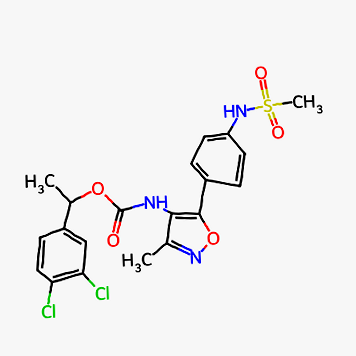 Cc1noc(-c2ccc(NS(C)(=O)=O)cc2)c1NC(=O)OC(C)c1ccc(Cl)c(Cl)c1